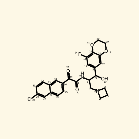 O=C(NC(CN1CCC1)C(O)c1cc(F)c2c(c1)OCCO2)C(=O)c1ccc2cc(Cl)ccc2c1